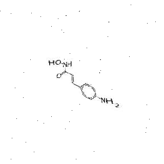 Nc1ccc(/C=C/C(=O)NO)cc1